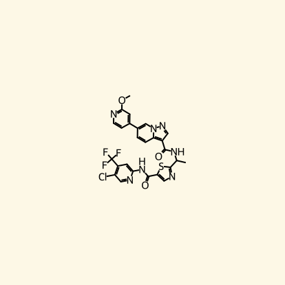 COc1cc(-c2ccc3c(C(=O)NC(C)c4ncc(C(=O)Nc5cc(C(F)(F)F)c(Cl)cn5)s4)cnn3c2)ccn1